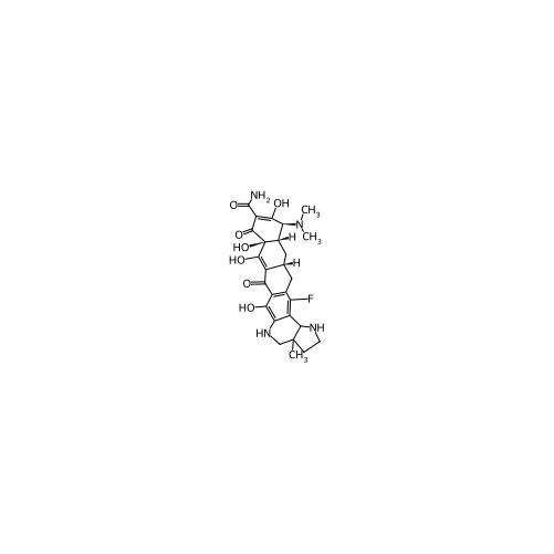 CN(C)[C@@H]1C(O)=C(C(N)=O)C(=O)[C@@]2(O)C(O)=C3C(=O)c4c(O)c5c(c(F)c4C[C@H]3C[C@@H]12)C1NCCC1(C)CN5